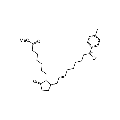 COC(=O)CCCCCC[C@H]1C(=O)CC[C@@H]1C/C=C/CCCCC[S+]([O-])c1ccc(C)cc1